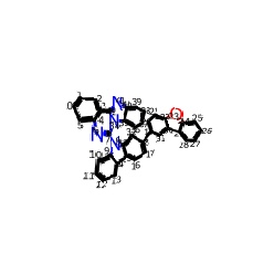 c1ccc2c(c1)nc(-n1c3ccccc3c3ccc(-c4ccc5oc6ccccc6c5c4)cc31)n1c3ccccc3nc21